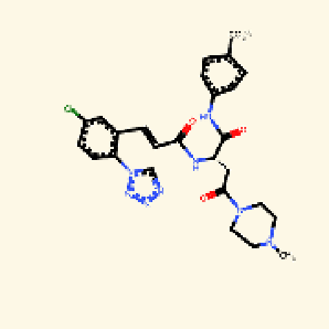 CN1CCN(C(=O)C[C@H](NC(=O)/C=C/c2cc(Cl)ccc2-n2cnnn2)C(=O)Nc2ccc(C(=O)O)cc2)CC1